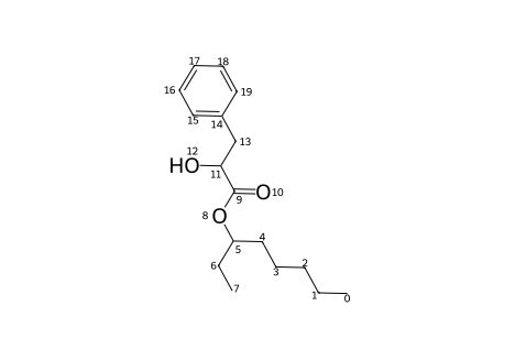 CCCCCC(CC)OC(=O)C(O)Cc1ccccc1